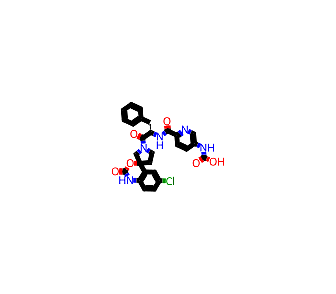 O=C(O)Nc1ccc(C(=O)N[C@@H](Cc2ccccc2)C(=O)N2CCC3(C2)OC(=O)Nc2ccc(Cl)cc23)nc1